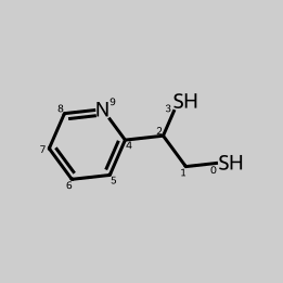 SCC(S)c1ccccn1